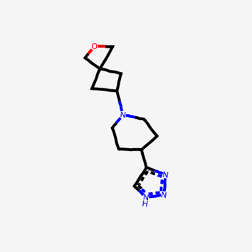 c1[nH]nnc1C1CCN(C2CC3(COC3)C2)CC1